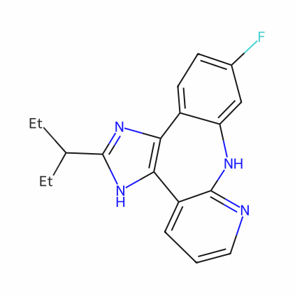 CCC(CC)c1nc2c([nH]1)-c1cccnc1Nc1cc(F)ccc1-2